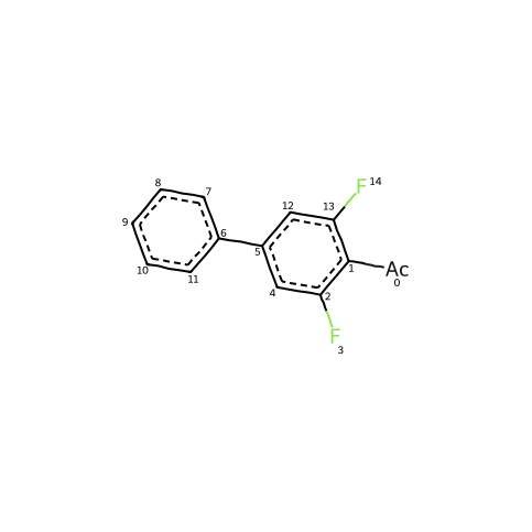 CC(=O)c1c(F)cc(-c2ccccc2)cc1F